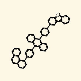 c1ccc2c(c1)ccc1cccc(-c3ccc(-c4c5ccccc5c(-c5ccc(-c6ccc7oc8ccccc8c7c6)cc5)c5ccccc45)cc3)c12